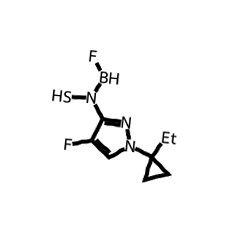 CCC1(n2cc(F)c(N(S)BF)n2)CC1